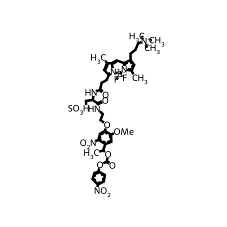 COc1cc(C(C)OC(=O)Oc2ccc([N+](=O)[O-])cc2)c([N+](=O)[O-])cc1OCCNC(=O)C(CS(=O)(=O)O)NC(=O)CCC1=[N+]2C(=Cc3c(CCC[N+](C)(C)C)cc(C)n3[B-]2(F)F)C(C)=C1